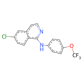 FC(F)(F)Oc1ccc(Nc2nccc3cc(Cl)ccc23)cc1